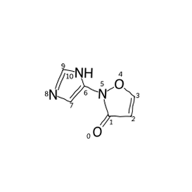 O=c1ccon1-c1cnc[nH]1